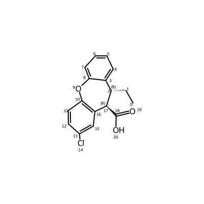 CC[C@H]1c2ccccc2Oc2ccc(Cl)cc2[C@@H]1C(=O)O